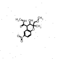 CNC(=S)C1c2cc([N+](=O)[O-])ccc2OC(C)(COC)C1O